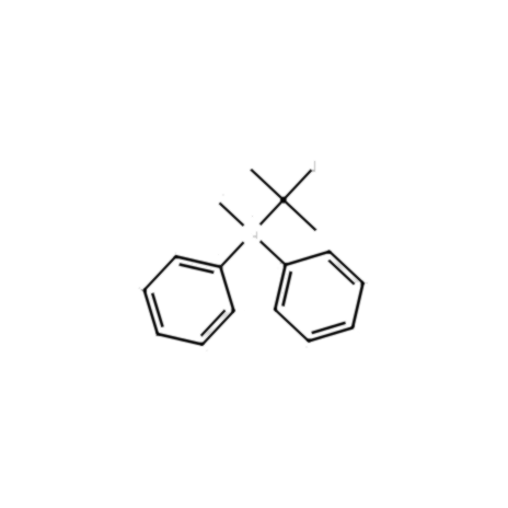 CC(C)(I)[Si](C)(c1ccccc1)c1ccccc1